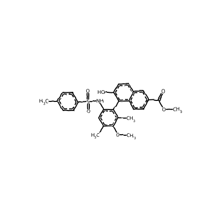 COC(=O)c1ccc2c(-c3c(NS(=O)(=O)c4ccc(C)cc4)cc(C)c(OC)c3C)c(O)ccc2c1